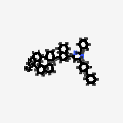 CC1(C)c2cccc(-c3ccc(-c4ccc(-c5cc(-c6ccc(-c7ccccc7)cc6)nc(-c6ccccc6)n5)c5ccccc45)cc3)c2-c2c1ccc1ccccc21